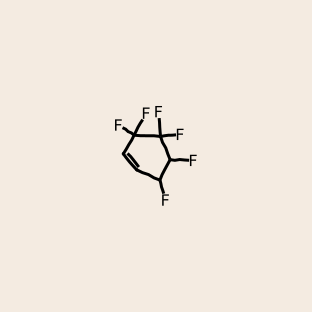 FC1C=CC(F)(F)C(F)(F)C1F